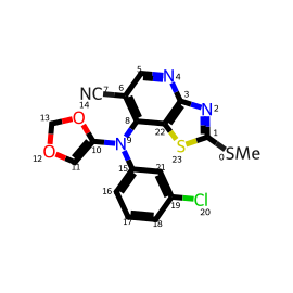 CSc1nc2ncc(C#N)c(N(C3=COCO3)c3cccc(Cl)c3)c2s1